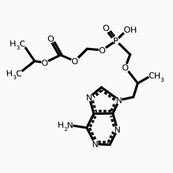 CC(C)OC(=O)OCOP(=O)(O)COC(C)Cn1cnc2c(N)ncnc21